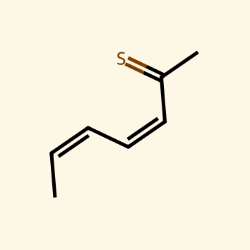 C/C=C\C=C/C(C)=S